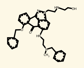 CN(CCNc1ccc2c3c(nn2CCNCCO)-c2cccc(OCc4ccccc4)c2C(=O)c13)Cc1ccccc1